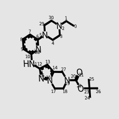 CCN1CCN(c2cccc(Nc3cc4n(n3)CCN(C(=O)OC(C)(C)C)C4)n2)CC1